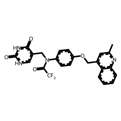 Cc1cc(COc2ccc(N(Cc3c[nH]c(=O)[nH]c3=O)C(=O)C(F)(F)F)cc2)c2ccccc2n1